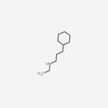 CCNCCCC1CCCCC1